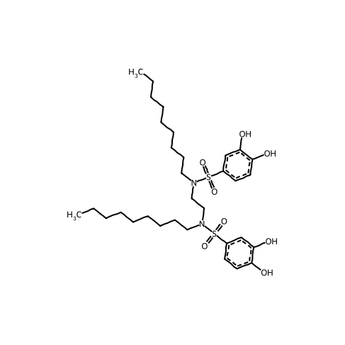 CCCCCCCCCN(CCN(CCCCCCCCC)S(=O)(=O)c1ccc(O)c(O)c1)S(=O)(=O)c1ccc(O)c(O)c1